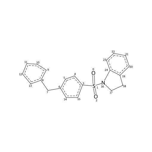 O=S(=O)(c1ccc(Cc2ccccc2)cc1)N1CCc2ccccc21